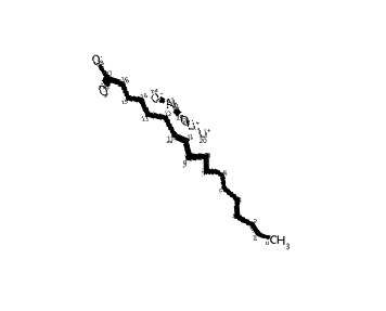 CCCCCCCCCCCCCCCCCC(=O)[O-].[Li+].[Li+].[O]=[Al][O-]